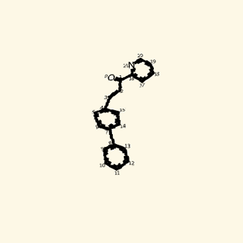 O=C(C=Cc1ccc(-c2ccccc2)cc1)c1ccccn1